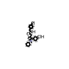 Cl.O=C(CC1CS/C(=N\C2CCCCC2)N1C1CCCCC1)NCc1ccc(Cl)cc1